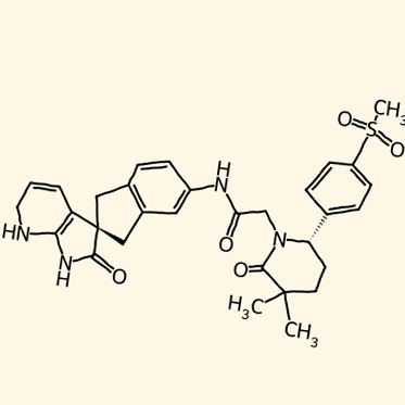 CC1(C)CC[C@@H](c2ccc(S(C)(=O)=O)cc2)N(CC(=O)Nc2ccc3c(c2)C[C@@]2(C3)C(=O)NC3=C2C=CCN3)C1=O